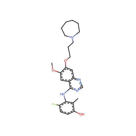 COc1cc2c(Nc3c(F)ccc(O)c3C)ncnc2cc1OCCCN1CCCCCC1